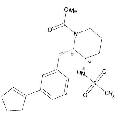 COC(=O)N1CCC[C@H](NS(C)(=O)=O)[C@@H]1Cc1cccc(C2=CCCC2)c1